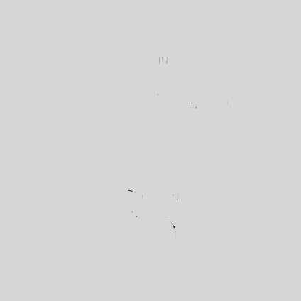 O=C1CCC(N2Cc3cc(CN4C[C@@H]5C[C@H]4CN5C(c4ccccc4)c4ccccc4)ccc3C2=O)C(=O)N1